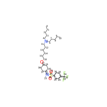 CCCCCN(CCCCC)CCCCCCOC1CCC(N(C)S(=O)(=O)c2ccc(C(F)(F)F)cc2)CC1